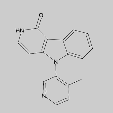 Cc1ccncc1-n1c2ccccc2c2c(=O)[nH]ccc21